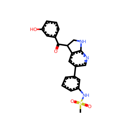 CS(=O)(=O)Nc1cccc(-c2cnc3c(c2)C(C(=O)c2cccc(O)c2)CN3)c1